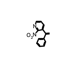 C=C(c1ccccc1)c1cccnc1[N+](=O)[O-]